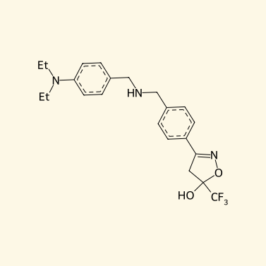 CCN(CC)c1ccc(CNCc2ccc(C3=NOC(O)(C(F)(F)F)C3)cc2)cc1